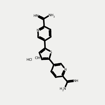 Cl.Cl.N=C(N)c1ccc(-c2ccc(-c3ccc(C(=N)N)nc3)s2)cn1